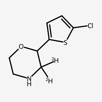 [2H]C1([2H])NCCOC1c1ccc(Cl)s1